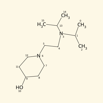 CC(C)N(CCN1CCC(O)CC1)C(C)C